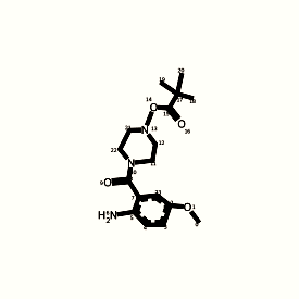 COc1ccc(N)c(C(=O)N2CCN(OC(=O)C(C)(C)C)CC2)c1